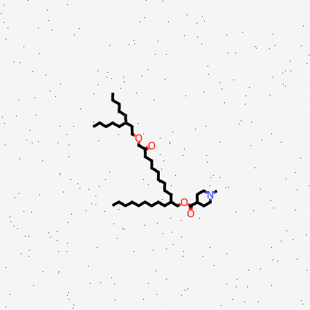 CCCCCCCCCC(CCCCCCCCC(=O)COCCC(CCCCC)CCCCC)COC(=O)C1CCN(C)CC1